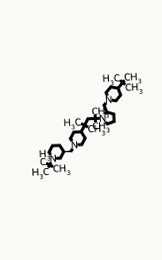 CC(C)(C)C1CCN(CC2CCCN2C(C)(C)CC(C)(C)C2CCN(C[C@@H]3CCCN(C(C)(C)C)C3)CC2)CC1